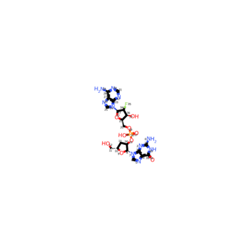 Nc1nc2c(ncn2[C@@H]2O[C@H](CO)CC2OP(=O)(O)OC[C@H]2O[C@@H](n3cnc4c(N)ncnc43)C(F)[C@H]2O)c(=O)[nH]1